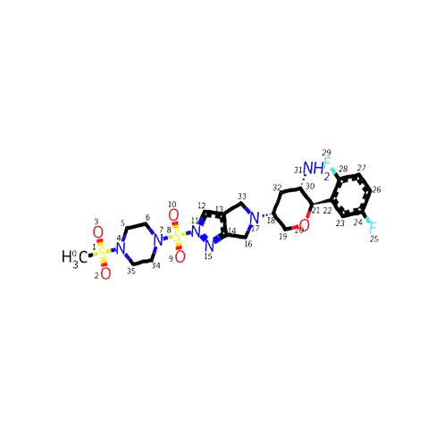 CS(=O)(=O)N1CCN(S(=O)(=O)n2cc3c(n2)CN([C@H]2CO[C@H](c4cc(F)ccc4F)[C@@H](N)C2)C3)CC1